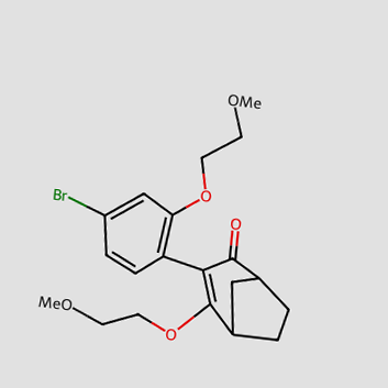 COCCOC1=C(c2ccc(Br)cc2OCCOC)C(=O)C2CCC1C2